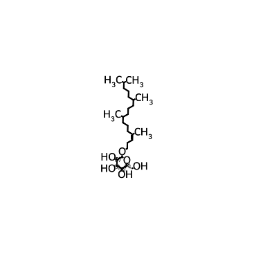 CC(=CCCOC1O[C@H](CO)[C@H](O)[C@H](O)[C@H]1O)CCCC(C)CCCC(C)CCCC(C)C